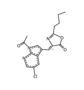 CCCCC1=N/C(=C\c2cn(C(C)=O)c3ncc(Cl)cc23)C(=O)O1